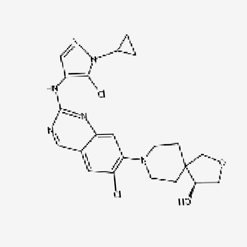 O[C@@H]1COCC12CCN(c1cc3nc(Nc4cnn(C5CC5)c4Cl)ncc3cc1Cl)CC2